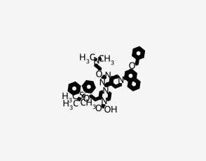 CN(C)CCOc1nc2c(c(N3CCN(C(=O)O)C(CCO[Si](c4ccccc4)(c4ccccc4)C(C)(C)C)C3)n1)CCN(c1cc(OCc3ccccc3)cc3ccccc13)C2